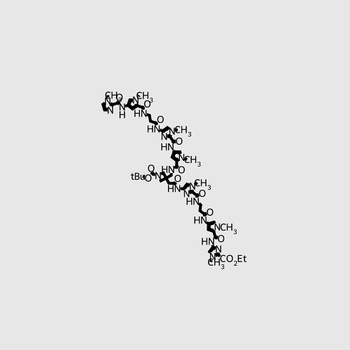 CCOC(=O)c1nc(NC(=O)c2cc(NC(=O)CCNC(=O)c3nc(NC(=O)CC4(CNC(=O)c5cc(NC(=O)c6nc(NC(=O)CCNC(=O)c7cc(NC(=O)c8nccn8C)cn7C)cn6C)cn5C)CN(C(=O)OC(C)(C)C)C4)cn3C)cn2C)cn1C